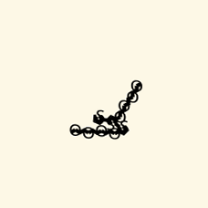 COCCOCCOCCOc1ccsc1-c1sc(-c2cccs2)cc1OCCOCCOCCOC